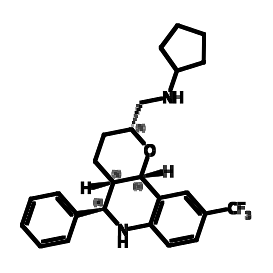 FC(F)(F)c1ccc2c(c1)[C@H]1O[C@@H](CNC3CCCC3)CC[C@H]1[C@H](c1ccccc1)N2